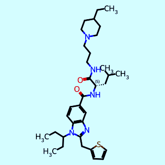 CCC1CCN(CCCNC(=O)[C@H](CC(C)C)NC(=O)c2ccc3c(c2)nc(Cc2cccs2)n3C(CC)CC)CC1